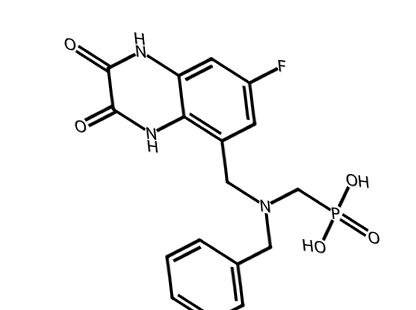 O=c1[nH]c2cc(F)cc(CN(Cc3ccccc3)CP(=O)(O)O)c2[nH]c1=O